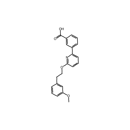 COc1cccc(CCOc2cccc(-c3cccc(C(=O)O)c3)n2)c1